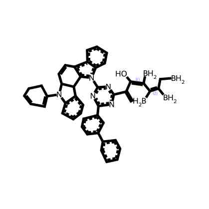 BC/C(B)=C(B)\C(B)=C(\O)C(=C)c1nc(-c2cccc(-c3ccccc3)c2)nc(-n2c3c(c4ccccc42)C=CC2C3c3ccccc3N2C2=CC=CCC2)n1